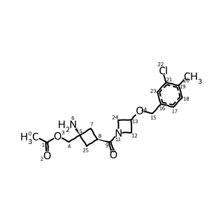 CC(=O)OC[C@]1(N)C[C@@H](C(=O)N2CC(OCc3ccc(C)c(Cl)c3)C2)C1